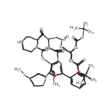 CCCCOC(=O)N1CCNCC1C(=O)C(C[PH](=O)OC(OC(=O)OC(C)(C)C)OC(=O)OC(C)(C)C)NC(=O)c1cc(N2CCC(OC)C2)nc(-c2ccccc2)n1